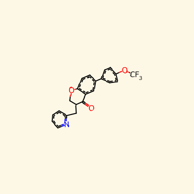 O=C1c2cc(-c3ccc(OC(F)(F)F)cc3)ccc2OCC1Cc1ccccn1